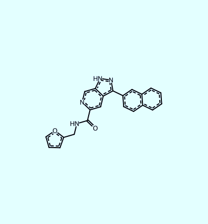 O=C(NCc1ccco1)c1cc2c(-c3ccc4ccccc4c3)n[nH]c2cn1